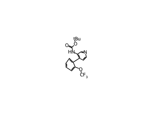 CC(C)(C)OC(=O)Nc1cnccc1-c1ccccc1OC(F)(F)F